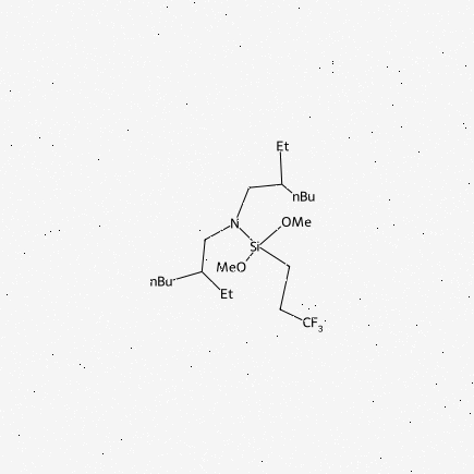 CCCCC(CC)CN(CC(CC)CCCC)[Si](CCC(F)(F)F)(OC)OC